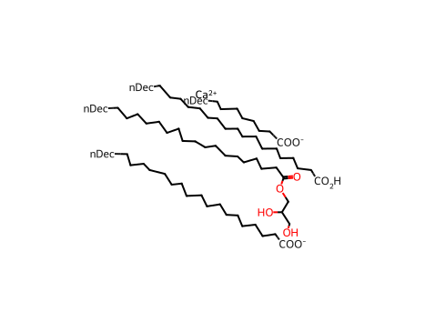 CCCCCCCCCCCCCCCCCC(=O)[O-].CCCCCCCCCCCCCCCCCCCCCCCCCCCC(=O)O.CCCCCCCCCCCCCCCCCCCCCCCCCCCC(=O)OCC(O)CO.CCCCCCCCCCCCCCCCCCCCCCCCCCCC(=O)[O-].[Ca+2]